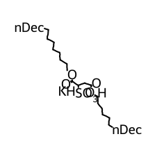 CCCCCCCCCCCCCCCCCCOC(=O)C(CC(=O)OCCCCCCCCCCCCCCCC)S(=O)(=O)O.[KH]